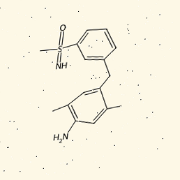 Cc1cc(Cc2cccc(S(C)(=N)=O)c2)c(C)cc1N